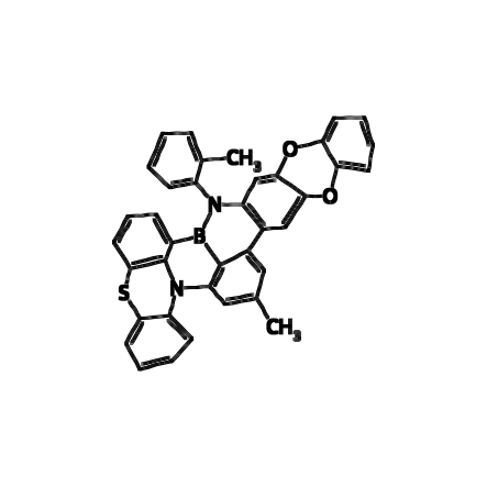 Cc1cc2c3c(c1)N1c4ccccc4Sc4cccc(c41)B3N(c1ccccc1C)c1cc3c(cc1-2)Oc1ccccc1O3